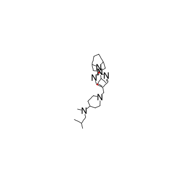 CC(C)CN(C)C1CCN(Cc2cnc(N3C4CCC3CN(C(C)C)C4)nc2)CC1